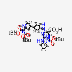 CC(C)(C)OC(=O)N[C@H]1CCCC[C@H]1Nc1ncc(C(=O)O)c(Nc2ccc(-c3ccnc(N(C(=O)OC(C)(C)C)C(=O)OC(C)(C)C)c3)cc2)n1